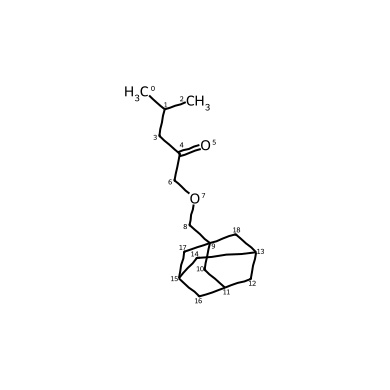 CC(C)CC(=O)COCC12CC3CC(CC(C3)C1)C2